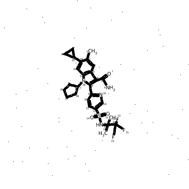 Cc1cc2c(C(N)=O)c(-c3ccc(S(=O)(=O)NC(C)(C)C(F)(F)F)cn3)n(C3CCCC3)c2cc1C1CC1